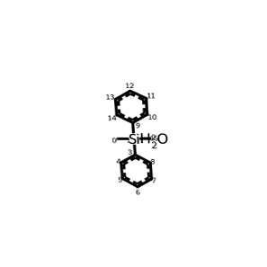 C[Si](C)(c1ccccc1)c1ccccc1.O